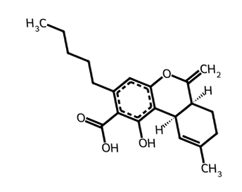 C=C1Oc2cc(CCCCC)c(C(=O)O)c(O)c2[C@@H]2C=C(C)CC[C@H]12